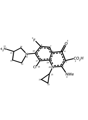 CNc1c(C(=O)O)c(=O)c2cc(F)c(N3CCC(N)C3)c(Cl)c2n1C1CC1